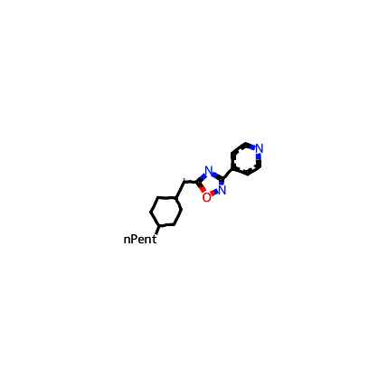 CCCCCC1CCC([CH]c2nc(-c3ccncc3)no2)CC1